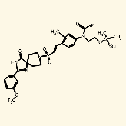 Cc1cc(N(CCO[Si](C)(C)C(C)(C)C)C(=O)C(C)C)ccc1/C=C/S(=O)(=O)N1CCC2(CC1)N=C(c1cccc(OC(F)(F)F)c1)NC2=O